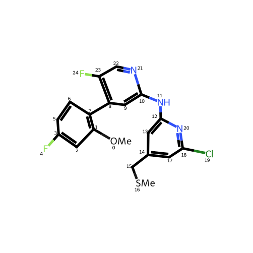 COc1cc(F)ccc1-c1cc(Nc2cc(CSC)cc(Cl)n2)ncc1F